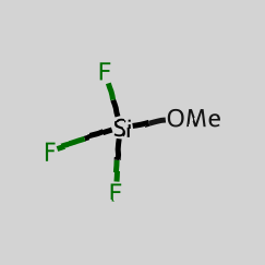 CO[Si](F)(F)F